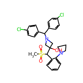 CS(=O)(=O)C(c1ccccc1N1CCC1)C1(O)CN(C(c2ccc(Cl)cc2)c2ccc(Cl)cc2)C1